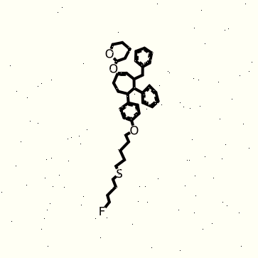 FCCCCSCCCCCOc1ccc(C2CCC(OC3CCCCO3)=CC(Cc3ccccc3)C2c2ccccc2)cc1